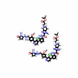 COc1cc(-c2nccc(-c3cccc(NC(=O)c4nc5c(n4C)CCN(CCC(=O)OC(C)C)C5)c3Cl)c2Cl)ccc1CNC[C@@H]1CCC(=O)N1.COc1cc(-c2nccc(-c3cccc(NC(=O)c4nc5c(n4C)CCN(CCC(=O)OC(C)C)C5)c3Cl)c2Cl)ccc1CNC[C@@H]1CCC(=O)N1